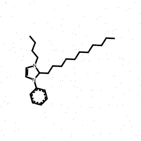 CCCCCCCCCCCC1N(CCCC)C=CN1c1ccccc1